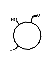 O=CC1CCCCCCCC(O)CCCC(O)C1